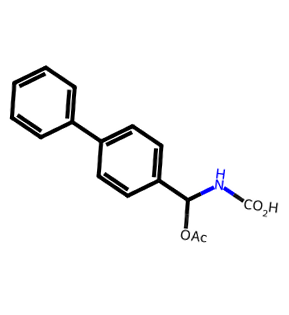 CC(=O)OC(NC(=O)O)c1ccc(-c2ccccc2)cc1